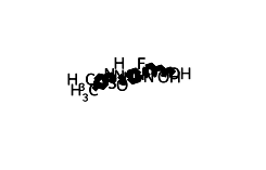 Cc1cc2nc(NC(=O)N3CCN(c4ncc(CC(O)CO)cc4F)CC3)sc2cc1C